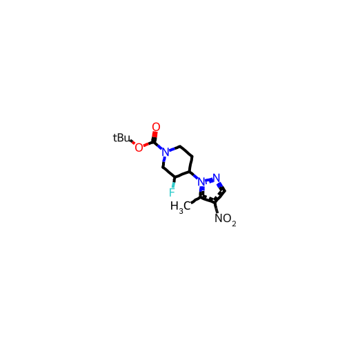 Cc1c([N+](=O)[O-])cnn1C1CCN(C(=O)OC(C)(C)C)CC1F